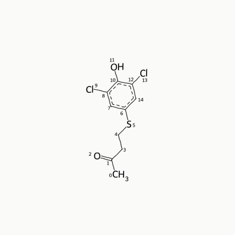 CC(=O)CCSc1cc(Cl)c(O)c(Cl)c1